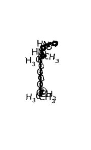 Cc1cc(N(C)CCOCCOCCOCCOCCC(=O)OC(C)(C)C)nc(Nc2ccc(NC(=O)Cc3ccccc3)cc2)n1